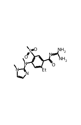 CCc1cc(N(C)c2nccn2C)c(S(C)(=O)=O)cc1C(=O)N=C(N)N